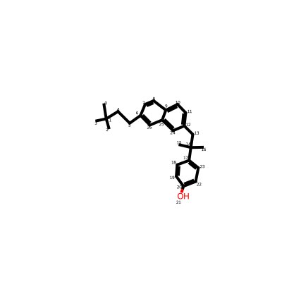 CC(C)(C)CCc1ccc2ccc(CC(C)(C)c3ccc(O)cc3)cc2c1